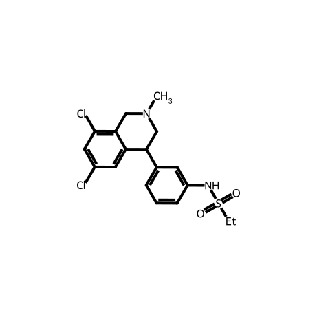 CCS(=O)(=O)Nc1cccc(C2CN(C)Cc3c(Cl)cc(Cl)cc32)c1